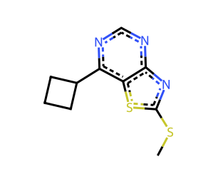 CSc1nc2ncnc(C3CCC3)c2s1